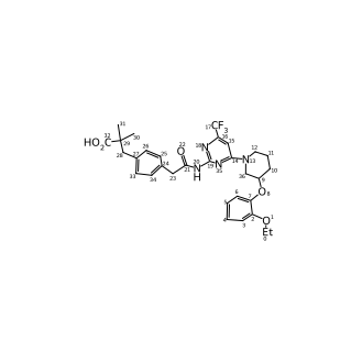 CCOc1ccccc1OC1CCCN(c2cc(C(F)(F)F)nc(NC(=O)Cc3ccc(CC(C)(C)C(=O)O)cc3)n2)C1